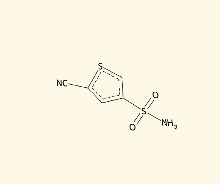 N#Cc1cc(S(N)(=O)=O)cs1